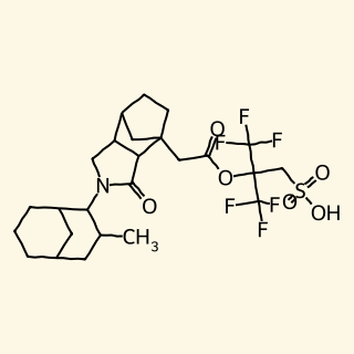 CC1CC2CCCC(C2)C1N1CC2C3CCC(CC(=O)OC(CS(=O)(=O)O)(C(F)(F)F)C(F)(F)F)(C3)C2C1=O